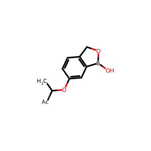 CC(=O)C(C)Oc1ccc2c(c1)B(O)OC2